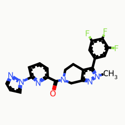 Cn1nc2c(c1-c1cc(F)c(F)c(F)c1)CCN(C(=O)c1cccc(-n3cccn3)n1)C2